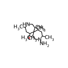 CC1CC(C)C2(C(C)CN1)C(C)CC(C)N(N)CC2C